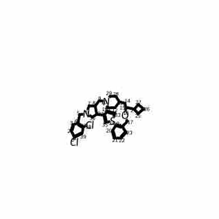 Clc1ccc(CN2CC(CN3CCC(CC(OCc4ccccc4)C4CCC4)CC3)C(c3ccsc3)C2)c(Cl)c1